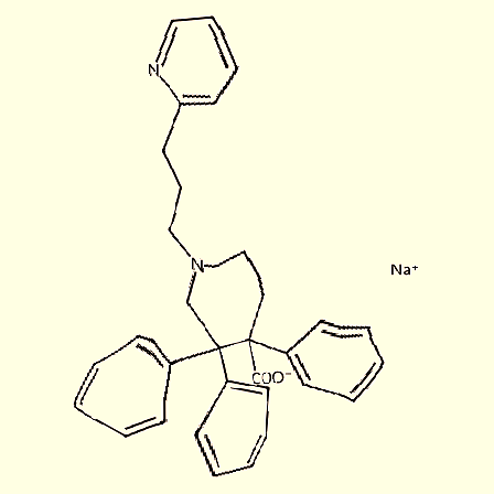 O=C([O-])C1(c2ccccc2)CCN(CCCc2ccccn2)CC1(c1ccccc1)c1ccccc1.[Na+]